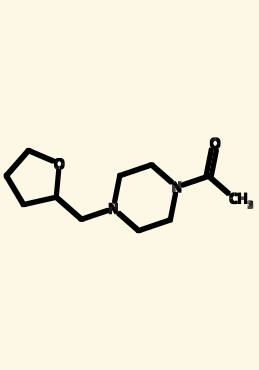 CC(=O)N1CCN(CC2CCCO2)CC1